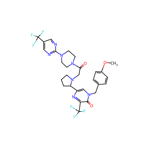 COc1ccc(Cn2cc(C3CCCN3CC(=O)N3CCN(c4ncc(C(F)(F)F)cn4)CC3)nc(C(F)(F)F)c2=O)cc1